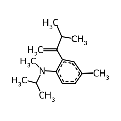 C=C(c1cc(C)ccc1N(C)C(C)C)C(C)C